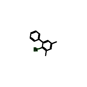 Cc1cc(C)c(Br)c(-c2ccccc2)c1